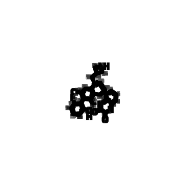 O=C1N=c2ccccc2=NC1=O.Oc1cccc(F)c1-c1c(Cl)cc2c(c1F)CC=CN2CC1CNC1